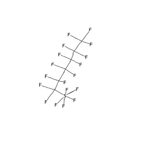 FC(F)(F)C(F)(F)C(F)(F)C(F)(F)C(F)(F)C(F)(F)S(F)(F)(F)(F)F